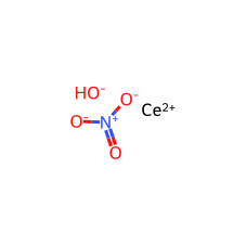 O=[N+]([O-])[O-].[Ce+2].[OH-]